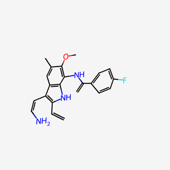 C=Cc1[nH]c2c(NC(=C)c3ccc(F)cc3)c(OC)c(C)cc2c1/C=C\N